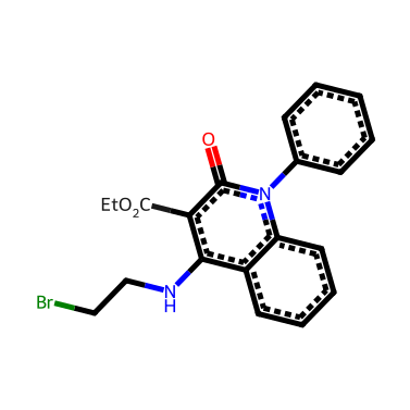 CCOC(=O)c1c(NCCBr)c2ccccc2n(-c2ccccc2)c1=O